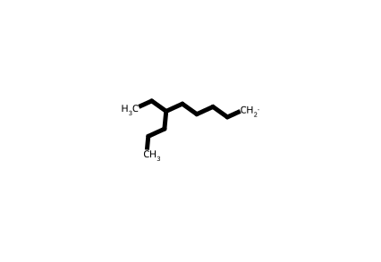 [CH2]CCCCC(CC)CCC